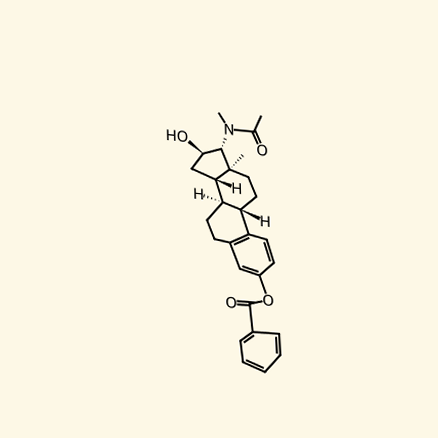 CC(=O)N(C)[C@H]1[C@H](O)C[C@H]2[C@@H]3CCc4cc(OC(=O)c5ccccc5)ccc4[C@H]3CC[C@]12C